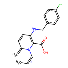 C=C1C=CC(NCc2ccc(Cl)cc2)=C(C(=O)O)N1/C=C\C